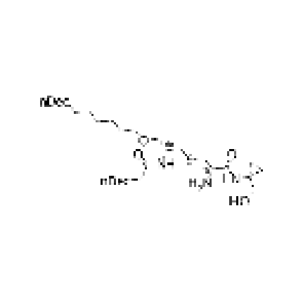 CCCCCCCCCCCCCCCCOC[C@H](CSC[C@@H](N)C(=O)NC1(CO)CC1)NC(=O)CCCCCCCCCCC